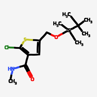 CNC(=O)c1cc(CO[Si](C)(C)C(C)(C)C)sc1Cl